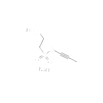 CC#COS(=O)(=O)CCC(=O)O.[NaH]